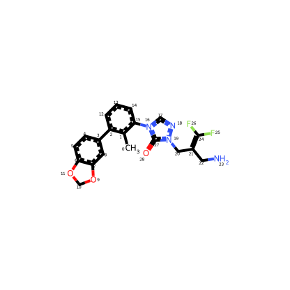 Cc1c(-c2ccc3c(c2)OCO3)cccc1-n1cnn(CC(CN)=C(F)F)c1=O